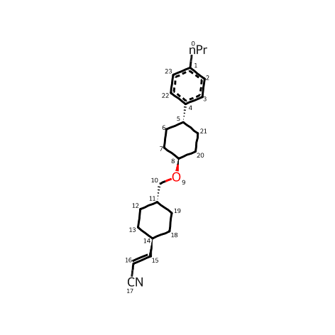 CCCc1ccc([C@H]2CC[C@H](OC[C@H]3CC[C@H](C=CC#N)CC3)CC2)cc1